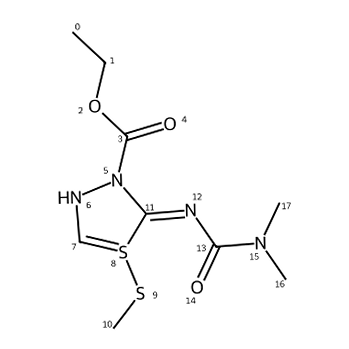 CCOC(=O)N1NC=S(SC)C1=NC(=O)N(C)C